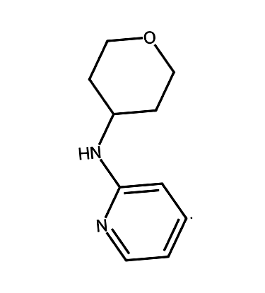 [c]1ccnc(NC2CCOCC2)c1